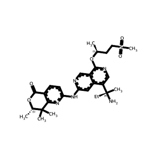 CC[C@@](C)(N)c1cnc(O[C@@H](C)CCS(C)(=O)=O)c2cnc(Nc3ccc4c(n3)C(C)(C)[C@H](C)OC4=O)cc12